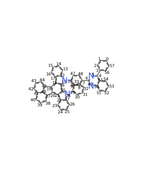 c1ccc(-c2nc(-c3ccc(-n4c5ccccc5c5c6c(c7c8ccccc8n(-c8ccccc8)c7c54)-c4cccc5cccc-6c45)cc3)nc3ccccc23)cc1